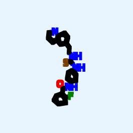 O=C(Nc1ccc(NC(=S)NCCc2ccc3ncccc3c2)cc1)c1ccccc1F